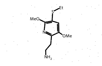 CCSc1cc(OC)c(CCN)nc1OC